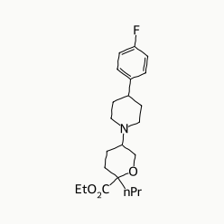 CCCC1(C(=O)OCC)CCC(N2CCC(c3ccc(F)cc3)CC2)CO1